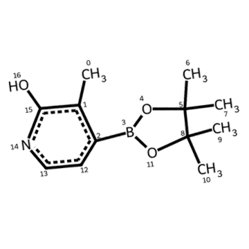 Cc1c(B2OC(C)(C)C(C)(C)O2)ccnc1O